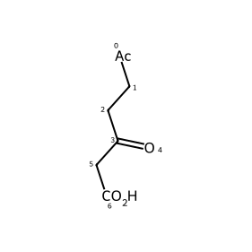 CC(=O)CCC(=O)CC(=O)O